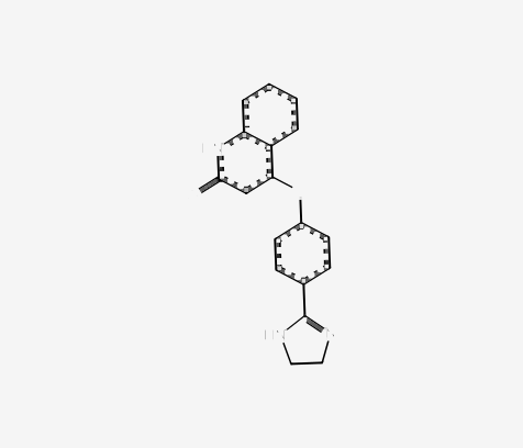 O=c1cc(Oc2ccc(C3=NCCN3)cc2)c2ccccc2[nH]1